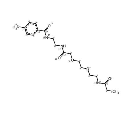 CCC(=O)NCCOCCOCC(=O)NCCNC(=O)c1ccc(N)cc1